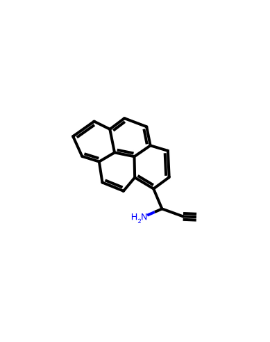 C#CC(N)c1ccc2ccc3cccc4ccc1c2c34